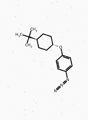 CC(C)(C)[C@H]1CC[C@H](Oc2ccc(N=[N+]=[N-])cc2)CC1